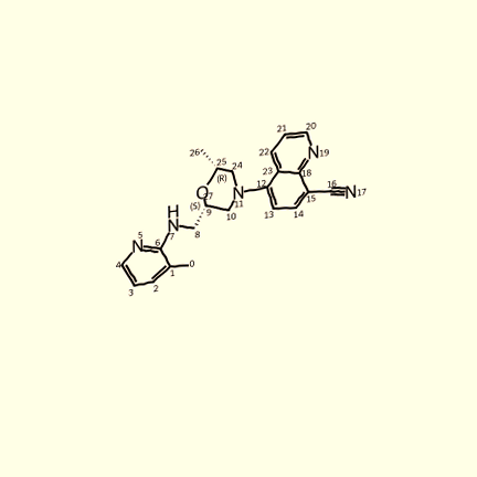 Cc1cccnc1NC[C@H]1CN(c2ccc(C#N)c3ncccc23)C[C@@H](C)O1